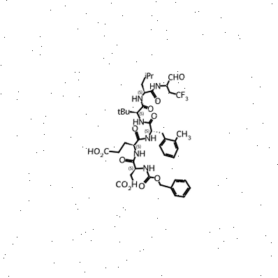 Cc1ccccc1C[C@H](NC(=O)[C@H](CCC(=O)O)NC(=O)[C@H](CC(=O)O)NC(=O)OCc1ccccc1)C(=O)N[C@H](C(=O)N[C@@H](CC(C)C)C(=O)NC(C=O)CC(F)(F)F)C(C)(C)C